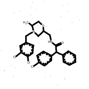 CC1COC(CNC(=O)C(c2ccccc2)c2ccc(Cl)cc2)CN1Cc1ccc(Cl)c(Cl)c1